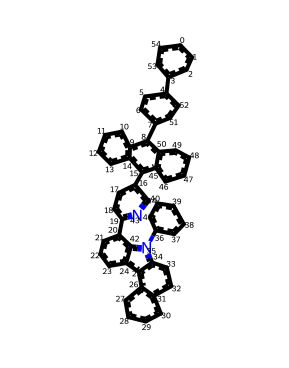 c1ccc(-c2ccc(-c3c4ccccc4c(-c4ccc(-c5cccc6c7c8ccccc8ccc7n(-c7ccccc7)c56)nc4)c4ccccc34)cc2)cc1